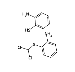 Nc1ccccc1S.Nc1ccccc1SC(Cl)Cl